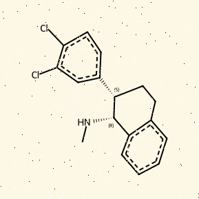 CN[C@H]1c2ccccc2CC[C@H]1c1ccc(Cl)c(Cl)c1